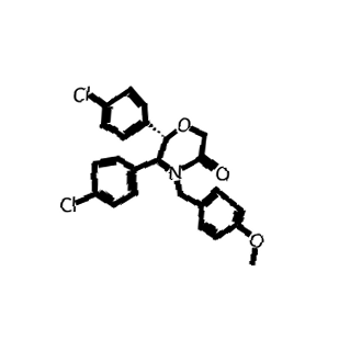 COc1ccc(CN2C(=O)CO[C@@H](c3ccc(Cl)cc3)C2c2ccc(Cl)cc2)cc1